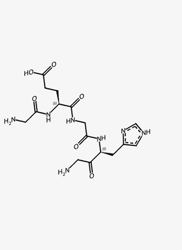 NCC(=O)N[C@@H](CCC(=O)O)C(=O)NCC(=O)N[C@@H](Cc1c[nH]cn1)C(=O)CN